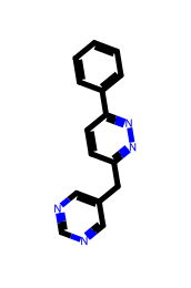 c1ccc(-c2ccc(Cc3cncnc3)nn2)cc1